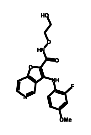 COc1ccc(Nc2c(C(=O)NOCCO)oc3ccncc23)c(F)c1